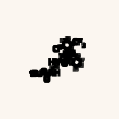 CC(C)(C)OC(=O)NCCNC(=O)CN(c1cc(C(F)(F)F)ccc1Cl)S(=O)(=O)c1ccccc1